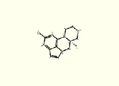 Clc1nc2c3c(ccn3C[C@@H]3COCCN23)n1